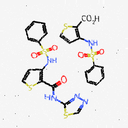 O=C(Nc1nncs1)c1sccc1NS(=O)(=O)c1ccccc1.O=C(O)c1sccc1NS(=O)(=O)c1ccccc1